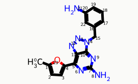 Cc1ccc(-c2nc(N)nc3c2nnn3Cc2cccc(N)c2)o1